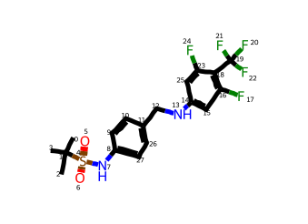 CC(C)(C)S(=O)(=O)Nc1ccc(CNc2cc(F)c(C(F)(F)F)c(F)c2)cc1